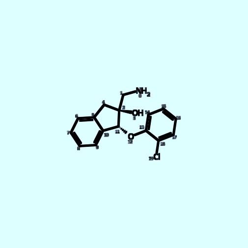 NC[C@@]1(O)Cc2ccccc2[C@H]1Oc1ccccc1Cl